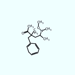 CON(C)C(C)CC(C)(CC1=CCC=CC=C1)C(C)=O